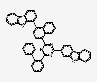 c1ccc(-c2ccccc2-c2nc(-c3ccc4c(c3)oc3ccccc34)nc(-c3ccc(-c4cccc5c4sc4ccccc45)c4ccccc34)n2)cc1